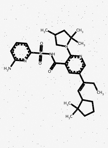 CC/C(=C\C1CCCC1(C)C)c1cnc(N2CC(C)CC2(C)C)c(C(=O)NS(=O)(=O)c2cccc(N)n2)c1